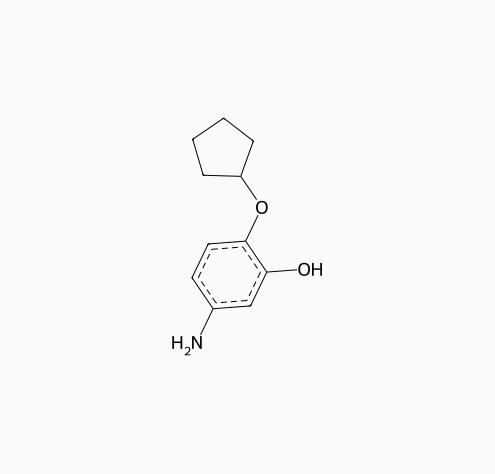 Nc1ccc(OC2CCCC2)c(O)c1